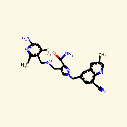 Cc1cnc2c(C#N)cc(Cn3cc(CNCc4c(C)cc(N)nc4C)c(C(N)=O)n3)cc2c1